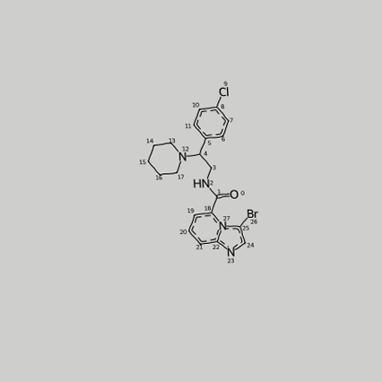 O=C(NCC(c1ccc(Cl)cc1)N1CCCCC1)c1cccc2ncc(Br)n12